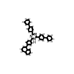 C1=CC(C2=NC(c3ccc(-c4cccc5ccccc45)cc3)NC(c3ccc(-c4ccccc4)cc3)=N2)CC=C1c1ccccc1